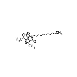 CCCCCCCCCCCN1C(=O)c2c(C)sc(C(C)C)c2C1=O